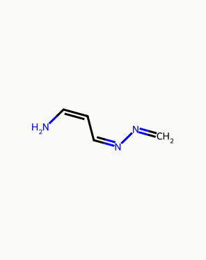 C=N/N=C\C=C/N